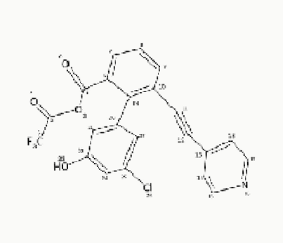 O=C(OC(=O)C(F)(F)F)c1cccc(C#Cc2ccncc2)c1-c1cc(O)cc(Cl)c1